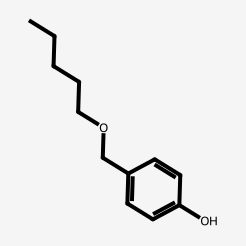 CCCCCOCc1ccc(O)cc1